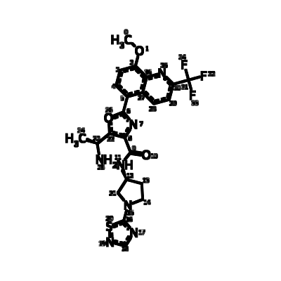 COc1ccc(-c2nc(C(=O)N[C@H]3CCN(c4ncns4)C3)c([C@H](C)N)o2)c2ccc(C(F)(F)F)nc12